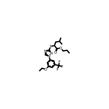 CCCOC(=O)C(CC(C)C)Sc1ncn(-c2cc(OCC)cc(C(F)(F)F)c2)n1